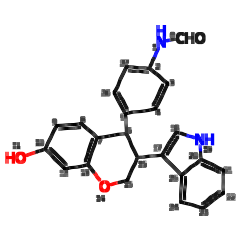 O=CNc1ccc(C2c3ccc(O)cc3OCC2c2c[nH]c3ccccc23)cc1